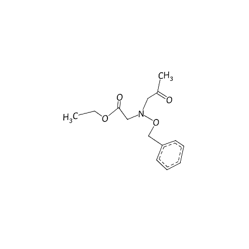 CCOC(=O)CN(CC(C)=O)OCc1ccccc1